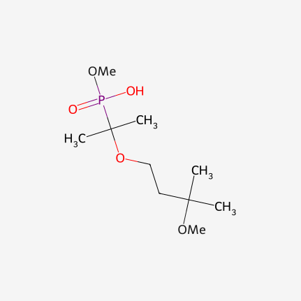 COC(C)(C)CCOC(C)(C)P(=O)(O)OC